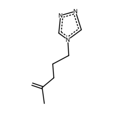 C=C(C)CCCn1cnnc1